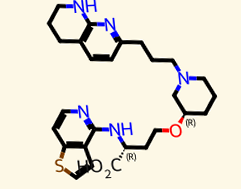 O=C(O)[C@@H](CCO[C@@H]1CCCN(CCCc2ccc3c(n2)NCCC3)C1)Nc1nccc2sccc12